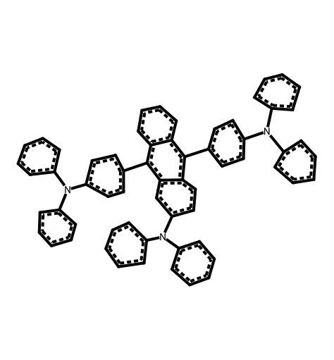 c1ccc(N(c2ccccc2)c2ccc(-c3c4ccccc4c(-c4ccc(N(c5ccccc5)c5ccccc5)cc4)c4cc(N(c5ccccc5)c5ccccc5)ccc34)cc2)cc1